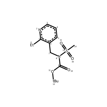 CCc1ncccc1CN(C(=O)OC(C)(C)C)S(C)(=O)=O